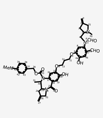 C=C1CC(CN(C=O)c2cc(OCCCOc3cc4c(cc3O)C(=O)N3CC(=C)CC3C(C)N4C(=O)OCc3ccc(NC)cc3)c(O)cc2C=O)N(C)C1